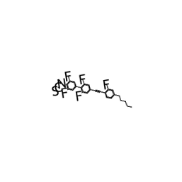 CCCCCc1ccc(C#Cc2cc(F)c(-c3cc(F)c(N=C=S)c(F)c3)c(F)c2)c(F)c1